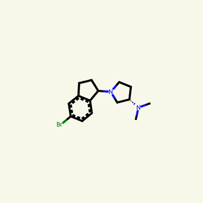 CN(C)[C@H]1CCN(C2CCc3cc(Br)ccc32)C1